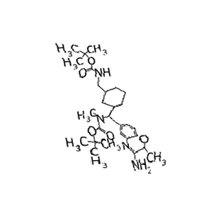 CC1Oc2ccc(C(C3CCCC(CNC(=O)OC(C)(C)C)C3)N(C)C(=O)OC(C)(C)C)cc2N=C1N